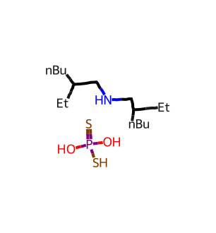 CCCCC(CC)CNCC(CC)CCCC.OP(O)(=S)S